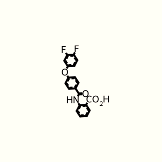 O=C(Nc1ccccc1C(=O)O)c1ccc(Oc2ccc(F)c(F)c2)cc1